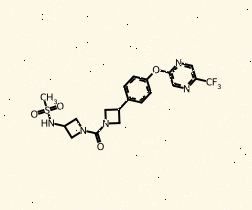 CS(=O)(=O)NC1CN(C(=O)N2CC(c3ccc(Oc4cnc(C(F)(F)F)cn4)cc3)C2)C1